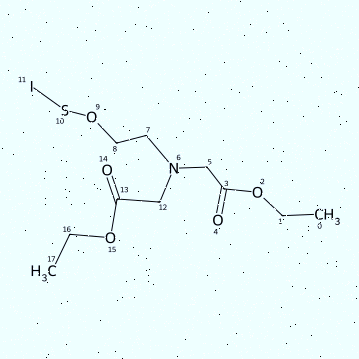 CCOC(=O)CN(CCOSI)CC(=O)OCC